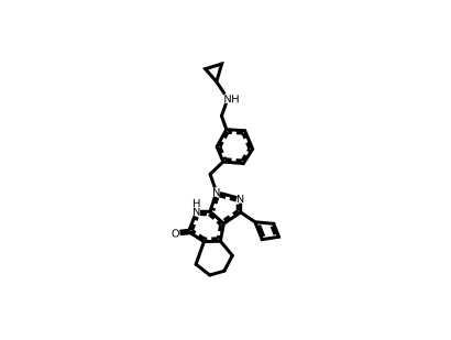 O=c1[nH]c2c(c(C3=CC=C3)nn2Cc2cccc(CNC3CC3)c2)c2c1CCCC2